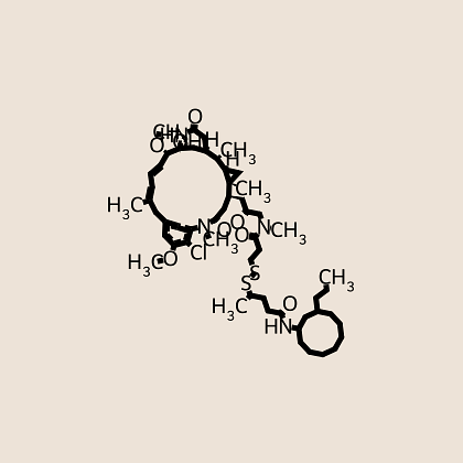 CCCC1CCCCCCCC(NC(=O)CCC(C)SSCCC(=O)N(C)CC(=O)C[C@H]2CC(=O)N(C)c3cc(cc(OC)c3Cl)C/C(C)=C/C=C/[C@@H](OC)[C@@]3(O)C[C@H](CC(=O)N3)[C@@H](C)[C@@H]3C[C@@]23C)C1